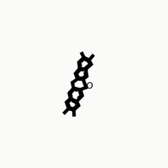 Cc1cc2cc3c(cc2cc1C)C(=O)c1cc2cc(C)c(C)cc2cc1C3